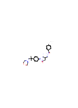 COc1ccc(C(=O)NCC2CC(=O)N(c3ccc(C(C)(C)CN4CCOCC4)cc3)C2)cc1